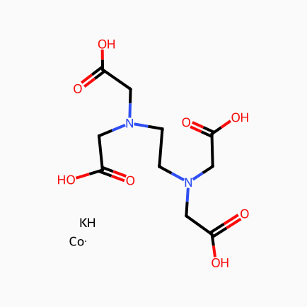 O=C(O)CN(CCN(CC(=O)O)CC(=O)O)CC(=O)O.[Co].[KH]